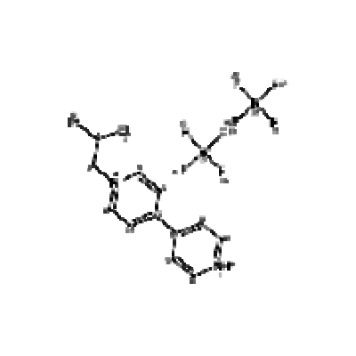 CCC(CC)C[n+]1ccc(-c2cc[nH+]cc2)cc1.F[B-](F)(F)F.F[B-](F)(F)F